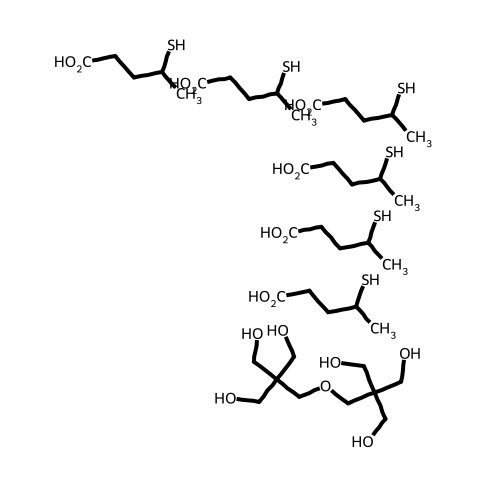 CC(S)CCC(=O)O.CC(S)CCC(=O)O.CC(S)CCC(=O)O.CC(S)CCC(=O)O.CC(S)CCC(=O)O.CC(S)CCC(=O)O.OCC(CO)(CO)COCC(CO)(CO)CO